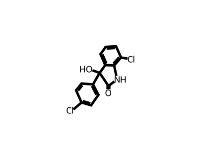 O=C1Nc2c(Cl)cccc2C1(O)c1ccc(Cl)cc1